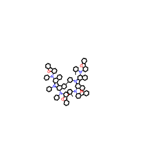 Cc1ccccc1N(c1cc2c(c3ccccc13)c1c3ccccc3c(N(c3ccccc3C)c3cccc4c3oc3ccccc34)cc1n2-c1cccc(-c2ccc3c(N(c4ccccc4)c4cccc5c4oc4ccccc45)cc4c(c3c2)c2c3ccccc3c(N(c3ccccc3)c3cccc5c3oc3ccccc35)cc2n4-c2ccccc2)c1)c1cccc2c1oc1ccccc12